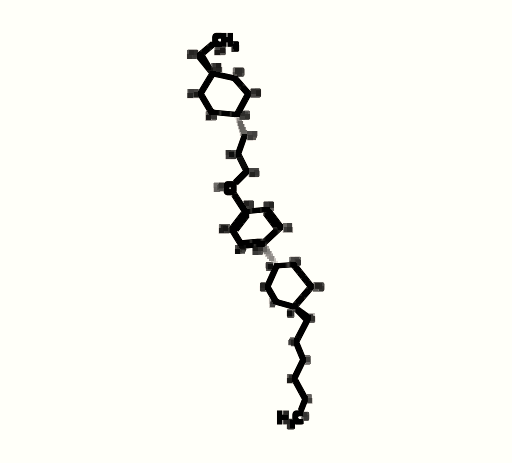 CCCCCC[C@H]1CC[C@H](c2ccc(OCCC[C@H]3CC[C@H](CC)CC3)cc2)CC1